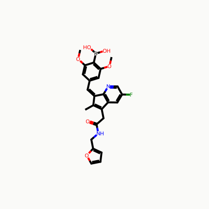 COc1cc(/C=C2/C(C)=C(CC(=O)NCc3ccco3)c3cc(F)cnc32)cc(OC)c1B(O)O